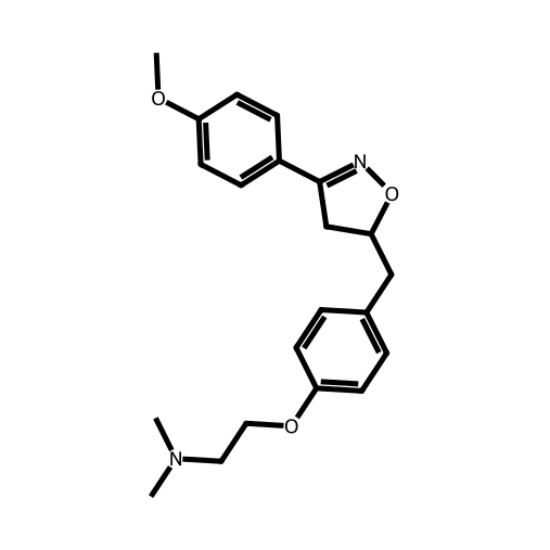 COc1ccc(C2=NOC(Cc3ccc(OCCN(C)C)cc3)C2)cc1